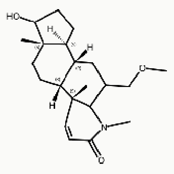 COCC1C[C@@H]2[C@@H](CC[C@]3(C)C(O)CC[C@@H]23)[C@@]2(C)C=CC(=O)N(C)C12